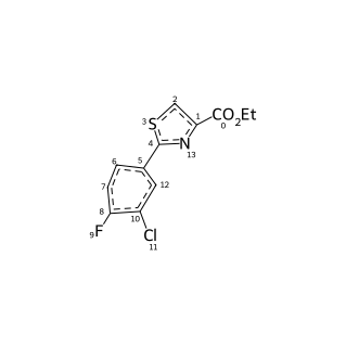 CCOC(=O)c1csc(-c2ccc(F)c(Cl)c2)n1